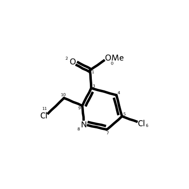 COC(=O)c1cc(Cl)cnc1CCl